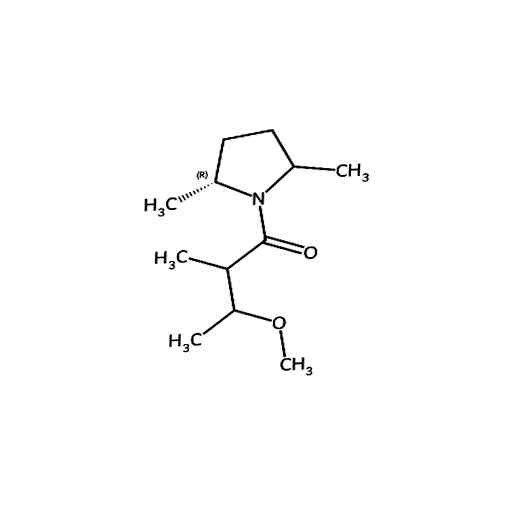 COC(C)C(C)C(=O)N1C(C)CC[C@H]1C